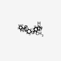 Cc1c(O[C@H]2CC[C@@H](NC(=O)C3CCCC3)CC2)ccc2[nH]ncc12